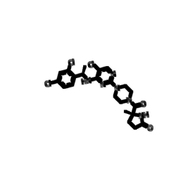 C[C@@H](Nc1nc(N2CCN(C(=O)[C@@]3(C)CCC(=O)N3)CC2)ncc1Cl)c1ccc(Cl)cc1Cl